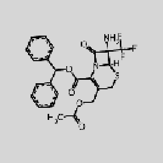 CC(=O)OCC1=C(C(=O)OC(c2ccccc2)c2ccccc2)N2C(=O)[C@](N)(C(F)(F)F)[C@H]2SC1